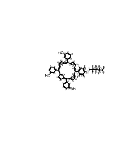 Oc1cccc(-c2c3nc(c(-c4cccc(O)c4)c4ccc([nH]4)c(-c4c(F)c(F)c(OCC(F)(F)C(F)(F)C(F)(F)C(F)F)c(F)c4F)c4nc(c(-c5cccc(O)c5)c5ccc2[nH]5)C=C4)C=C3)c1